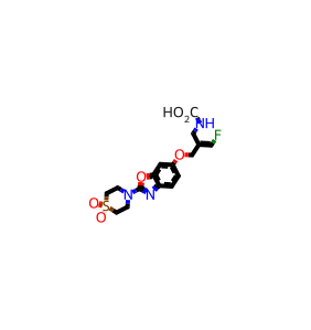 O=C(O)NC/C(=C\F)COc1ccc2nc(N3CCS(=O)(=O)CC3)oc2c1